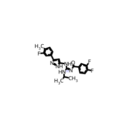 Cc1ccc(-c2cc(N/C(=N\C(=O)c3ccc(F)c(F)c3)NC(C)C)[nH]n2)cc1F